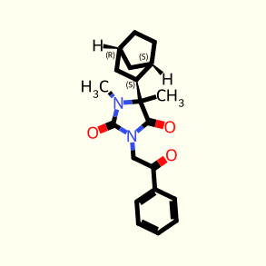 CN1C(=O)N(CC(=O)c2ccccc2)C(=O)C1(C)[C@H]1C[C@@H]2CC[C@H]1C2